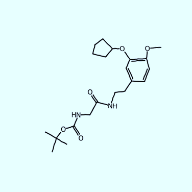 COc1ccc(CCNC(=O)CNC(=O)OC(C)(C)C)cc1OC1CCCC1